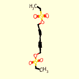 CCS(=O)(=O)OCC#CC#CCOS(=O)(=O)CC